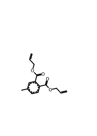 C=CCOC(=O)c1ccc(C)cc1C(=O)OCC=C